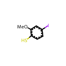 COc1cc(I)ccc1S